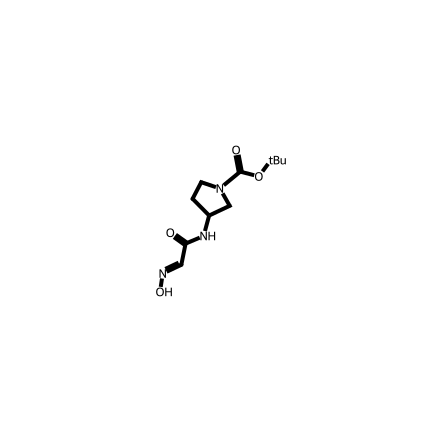 CC(C)(C)OC(=O)N1CCC(NC(=O)/C=N/O)C1